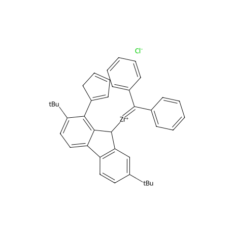 CC(C)(C)c1ccc2c(c1)[CH]([Zr+]=[C](c1ccccc1)c1ccccc1)c1c-2ccc(C(C)(C)C)c1C1=CC=CC1.[Cl-]